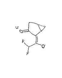 O=C1CC2CC2/C1=C(\[O-])C(F)F.[Li+]